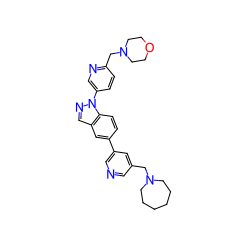 c1ncc(-c2ccc3c(cnn3-c3ccc(CN4CCOCC4)nc3)c2)cc1CN1CCCCCC1